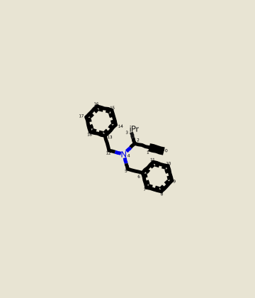 C#CC(C(C)C)N(Cc1ccccc1)Cc1ccccc1